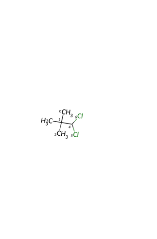 CC(C)(C)C(Cl)Cl